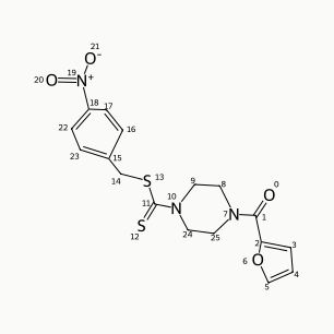 O=C(c1ccco1)N1CCN(C(=S)SCc2ccc([N+](=O)[O-])cc2)CC1